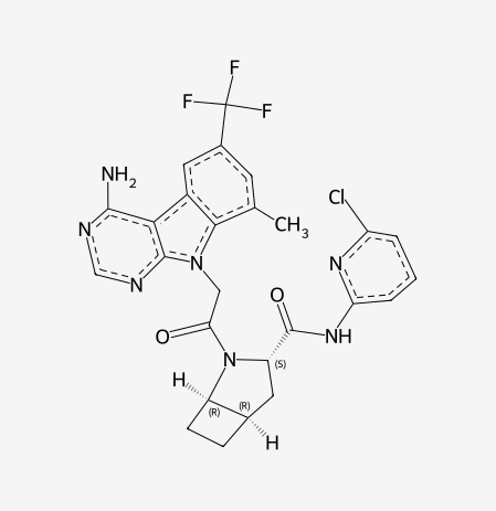 Cc1cc(C(F)(F)F)cc2c3c(N)ncnc3n(CC(=O)N3[C@@H]4CC[C@@H]4C[C@H]3C(=O)Nc3cccc(Cl)n3)c12